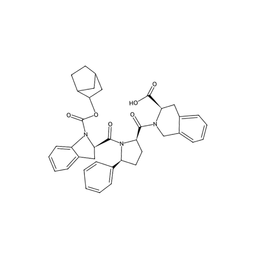 O=C(O)[C@H]1Cc2ccccc2CN1C(=O)[C@H]1CC[C@@H](c2ccccc2)N1C(=O)[C@H]1Cc2ccccc2N1C(=O)OC1CC2CCC1C2